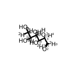 [2H]C(=O)[C@]([2H])(O)[C@@]([2H])(O)[C@]([2H])(O)[C@]([2H])(O)C([2H])([2H])O